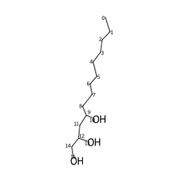 CCCCCCCCCC(O)CC(O)CO